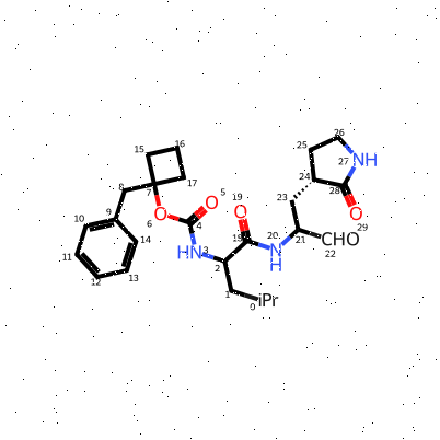 CC(C)CC(NC(=O)OC1(Cc2ccccc2)CCC1)C(=O)NC(C=O)C[C@@H]1CCNC1=O